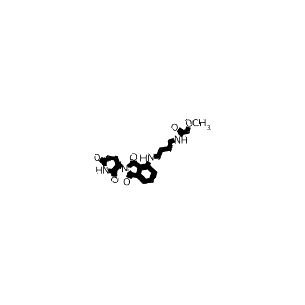 COCC(=O)NCCCCNc1cccc2c1C(=O)N(C1CCC(=O)NC1=O)C2=O